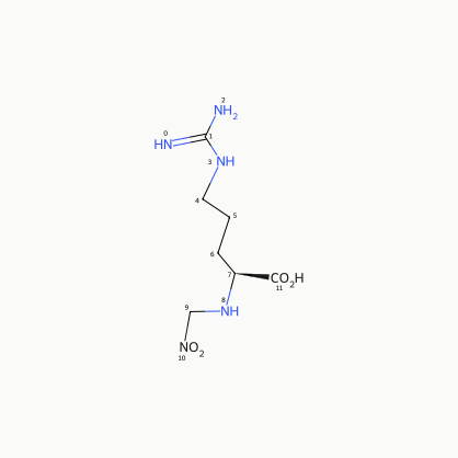 N=C(N)NCCC[C@H](NC[N+](=O)[O-])C(=O)O